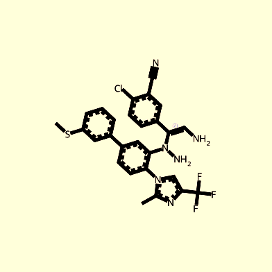 CSc1cccc(-c2ccc(-n3cc(C(F)(F)F)nc3C)c(N(N)/C(=C\N)c3ccc(Cl)c(C#N)c3)c2)c1